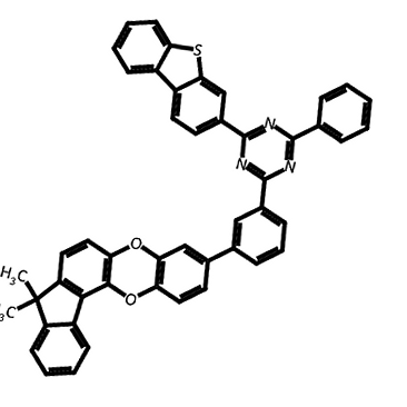 CC1(C)c2ccccc2-c2c1ccc1c2Oc2ccc(-c3cccc(-c4nc(-c5ccccc5)nc(-c5ccc6c(c5)sc5ccccc56)n4)c3)cc2O1